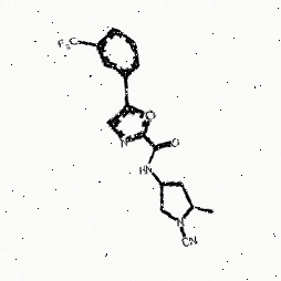 C[C@@H]1CC(NC(=O)c2ncc(-c3cccc(C(F)(F)F)c3)o2)CN1C#N